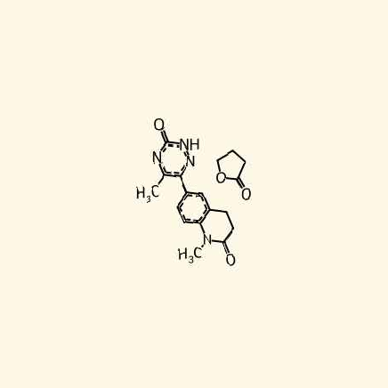 Cc1nc(=O)[nH]nc1-c1ccc2c(c1)CCC(=O)N2C.O=C1CCCO1